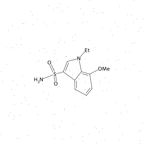 CCn1cc(S(N)(=O)=O)c2cccc(OC)c21